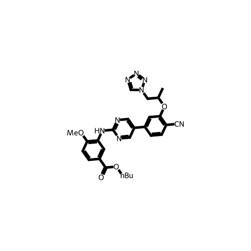 CCCCOC(=O)c1ccc(OC)c(Nc2ncc(-c3ccc(C#N)c(OC(C)Cn4cnnn4)c3)cn2)c1